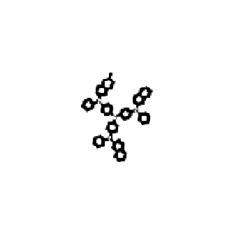 CC1C=Cc2cc(N(c3ccccc3)c3ccc(N(c4ccc(N(c5ccccc5)c5ccc6ccccc6c5)cc4)c4ccc(N(c5ccccc5)c5ccc6ccccc6c5)cc4)cc3)ccc2C1